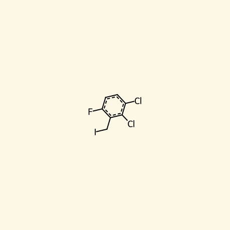 Fc1ccc(Cl)c(Cl)c1CI